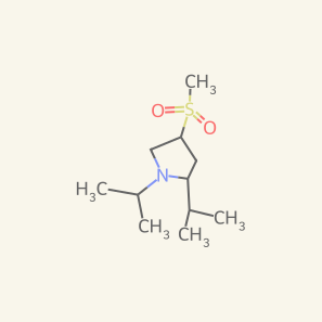 CC(C)C1CC(S(C)(=O)=O)CN1C(C)C